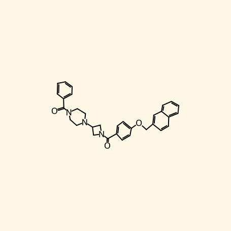 O=C(c1ccccc1)N1CCN(C2CN(C(=O)c3ccc(OCc4ccc5ccccc5c4)cc3)C2)CC1